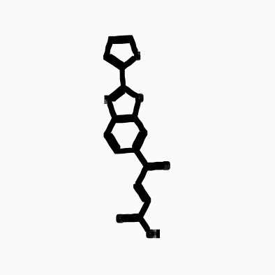 O=C(O)C=CC(=O)c1ccc2nc(-c3cccs3)oc2c1